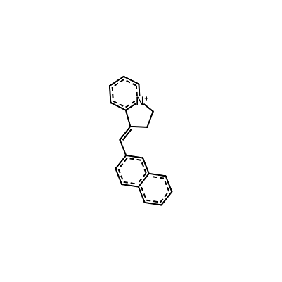 C(=C1CC[n+]2ccccc21)c1ccc2ccccc2c1